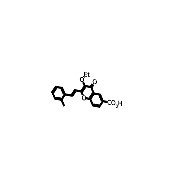 CCOc1c(/C=C/c2ccccc2C)oc2ccc(C(=O)O)cc2c1=O